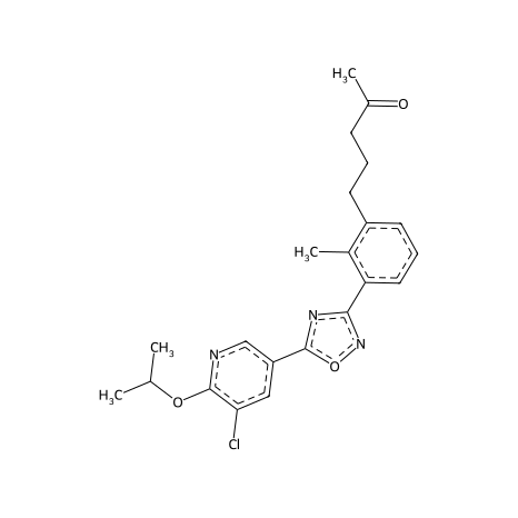 CC(=O)CCCc1cccc(-c2noc(-c3cnc(OC(C)C)c(Cl)c3)n2)c1C